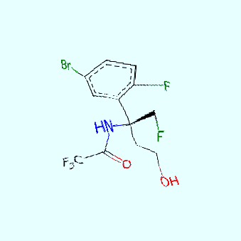 O=C(N[C@@](CF)(CCO)c1cc(Br)ccc1F)C(F)(F)F